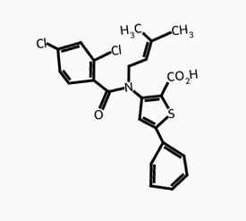 CC(C)=CCN(C(=O)c1ccc(Cl)cc1Cl)c1cc(-c2ccccc2)sc1C(=O)O